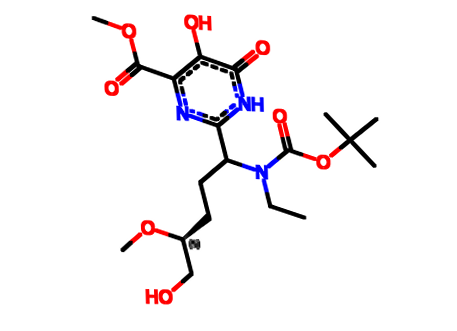 CCN(C(=O)OC(C)(C)C)C(CC[C@@H](CO)OC)c1nc(C(=O)OC)c(O)c(=O)[nH]1